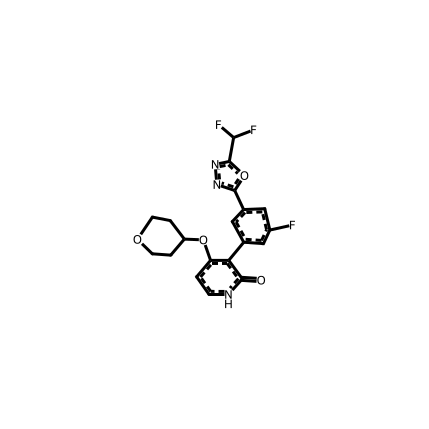 O=c1[nH]ccc(OC2CCOCC2)c1-c1cc(F)cc(-c2nnc(C(F)F)o2)c1